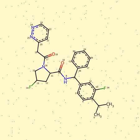 CC(C)c1ccc(C(NC(=O)C2CC(F)CN2C(=O)Cc2cccnn2)c2ccccc2)cc1F